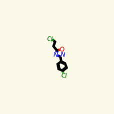 ClCCc1nc(-c2ccc(Cl)cc2)no1